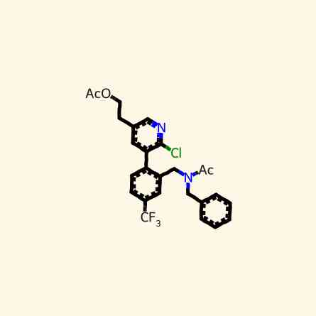 CC(=O)OCCc1cnc(Cl)c(-c2ccc(C(F)(F)F)cc2CN(Cc2ccccc2)C(C)=O)c1